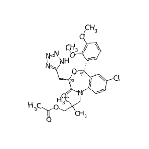 COc1cccc([C@H]2O[C@H](Cc3nnn[nH]3)C(=O)N(CC(C)(C)COC(C)=O)c3ccc(Cl)cc32)c1OC